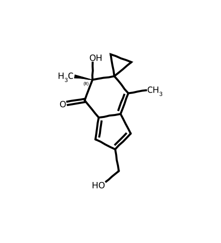 CC1=C2C=C(CO)C=C2C(=O)[C@](C)(O)C12CC2